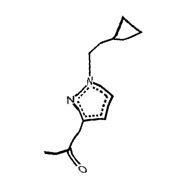 CC(=O)c1ccn(CC2CC2)n1